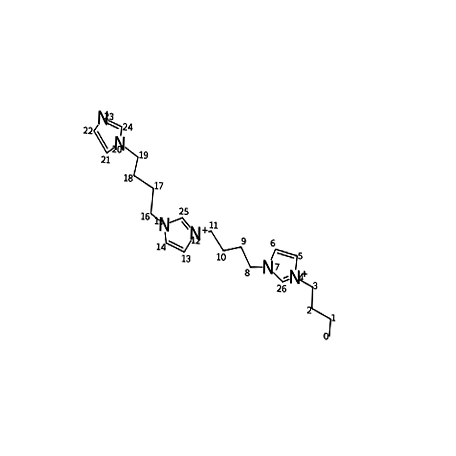 CCCC[n+]1ccn(CCCC[n+]2ccn(CCCCn3ccnc3)c2)c1